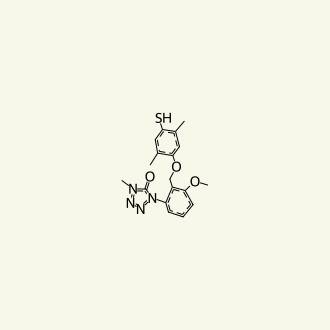 COc1cccc(-n2nnn(C)c2=O)c1COc1cc(C)c(S)cc1C